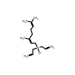 C=CC[N+]([O-])(CC=C)CC=C(C)CCC=C(C)C